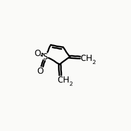 C=C1C=CS(=O)(=O)C1=C